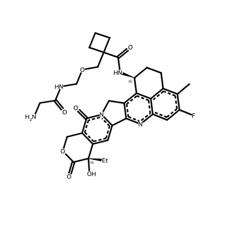 CC[C@@]1(O)C(=O)OCc2c1cc1n(c2=O)Cc2c-1nc1cc(F)c(C)c3c1c2[C@@H](NC(=O)C1(COCNC(=O)CN)CCC1)CC3